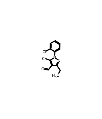 CCc1nn(-c2ccccc2Cl)c(Cl)c1C=O